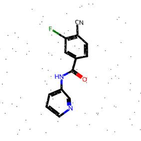 N#Cc1ccc(C(=O)Nc2cccnc2)cc1F